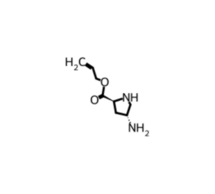 C=CCOC(=O)[C@@H]1C[C@@H](N)CN1